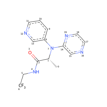 C[C@H](C(=O)NCC(F)(F)F)N(c1cccnc1)c1cnccn1